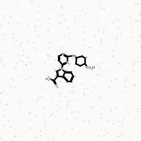 CCOC(=O)C1CCC(Nc2nccc(-n3cc(C(N)=O)c4ccccc43)n2)CC1